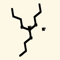 CCCO[BH-](OCCC)OCCC.[K+]